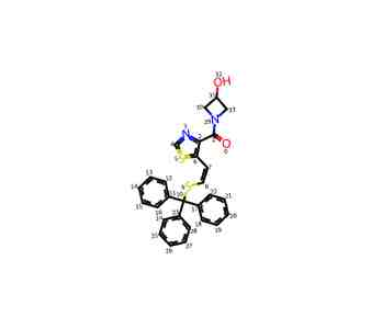 O=C(c1ncsc1/C=C\SC(c1ccccc1)(c1ccccc1)c1ccccc1)N1CC(O)C1